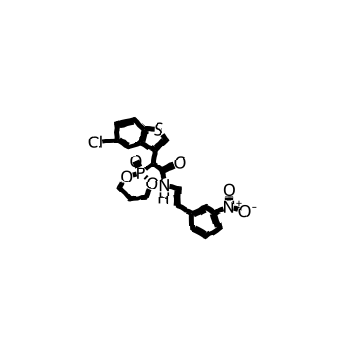 O=C(NC=Cc1cccc([N+](=O)[O-])c1)C(c1csc2ccc(Cl)cc12)P1(=O)OCCCO1